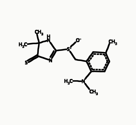 Cc1ccc(N(C)C)c(C[S+]([O-])C2=NC(=S)C(C)(C)N2)c1